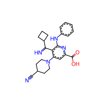 N#CC1CCN(c2cc(C(=O)O)nc(Nc3ccccc3)c2C(=N)C2CCC2)CC1